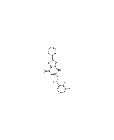 Cc1cccc(NCc2cc(=O)n3nc(-c4ccccc4)nc3[nH]2)c1C